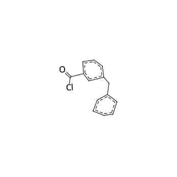 O=C(Cl)c1cccc(Cc2ccccc2)c1